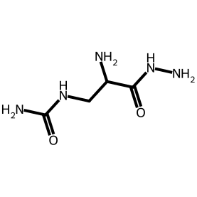 NNC(=O)C(N)CNC(N)=O